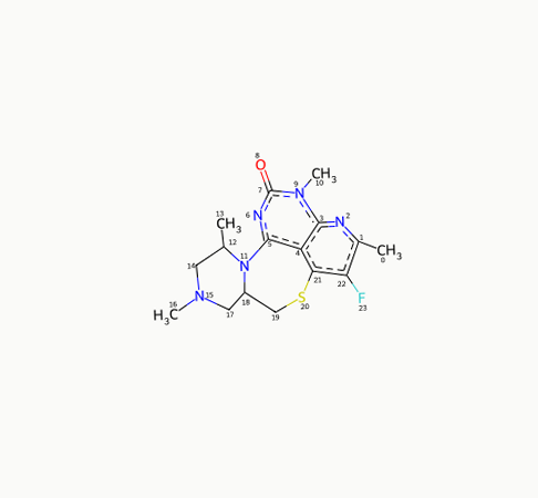 Cc1nc2c3c(nc(=O)n2C)N2C(C)CN(C)CC2CSc3c1F